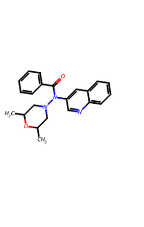 CC1CN(N(C(=O)c2ccccc2)c2cnc3ccccc3c2)CC(C)O1